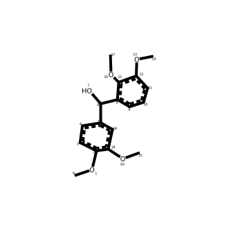 COc1ccc(C(O)c2cccc(OC)c2OC)cc1OC